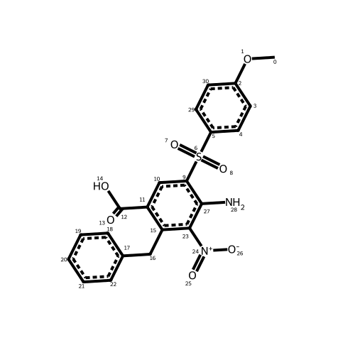 COc1ccc(S(=O)(=O)c2cc(C(=O)O)c(Cc3ccccc3)c([N+](=O)[O-])c2N)cc1